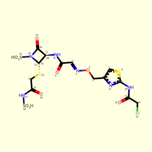 O=C(C=NOCc1csc(NC(=O)CCl)n1)N[C@@H]1C(=O)N(S(=O)(=O)O)[C@H]1SCC(=O)NS(=O)(=O)O